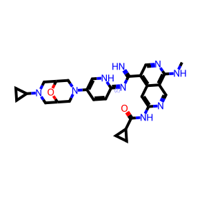 CNc1ncc(C(=N)/N=c2/ccc(N3CC4CN(C5CC5)CC(C3)O4)c[nH]2)c2cc(NC(=O)C3CC3)ncc12